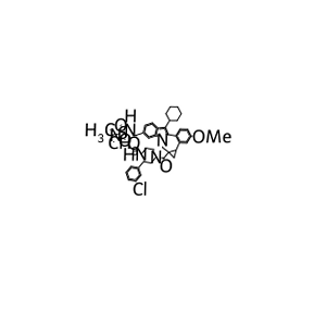 COc1ccc2c(c1)C1CC1(C(=O)N1CCNC(c3cccc(Cl)c3)C1)Cn1c-2c(C2CCCCC2)c2ccc(C(=O)NS(=O)(=O)N(C)C)cc21